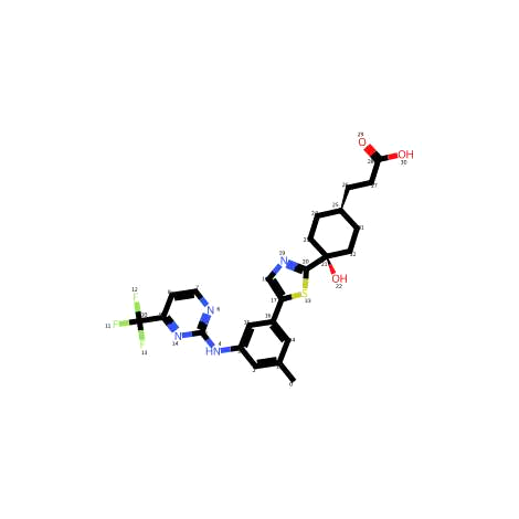 Cc1cc(Nc2nccc(C(F)(F)F)n2)cc(-c2cnc([C@]3(O)CC[C@@H](CCC(=O)O)CC3)s2)c1